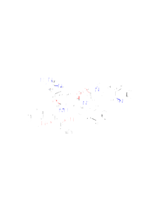 CC(C)C[C@H](O)[C@H](O)[C@H](CC1CCCCC1)NC(=O)[C@@H](CC(=O)N(CC(=O)N(C)CCc1cccnc1)[C@@H](C)c1ccccc1)Cc1csc(N)n1